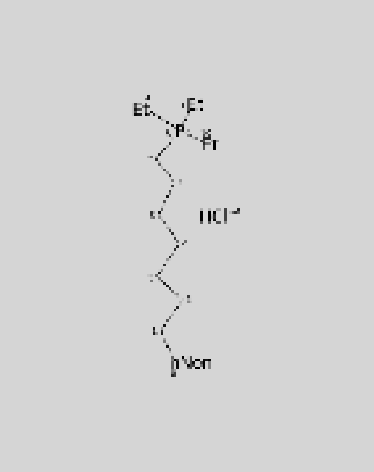 CCCCCCCCCCCCCCCC[P](CC)(CC)CC.Cl